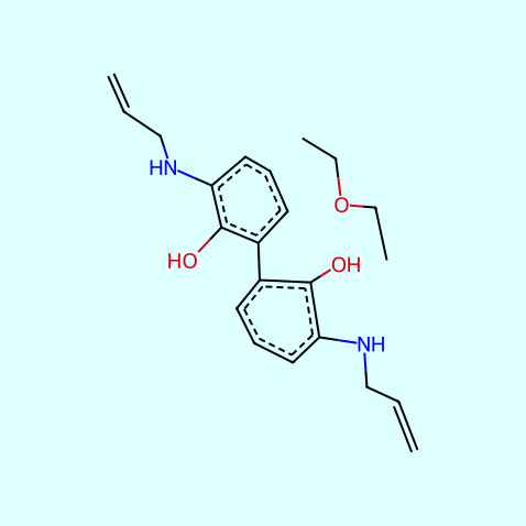 C=CCNc1cccc(-c2cccc(NCC=C)c2O)c1O.CCOCC